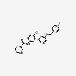 O=C(Nc1cc(-c2cncc(NCc3ccc(F)cc3)n2)c(Cl)cn1)[C@@H]1CCCNC1